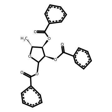 C[C@H]1OC(OC(=O)c2ccccc2)[C@H](OC(=O)c2ccccc2)[C@@H]1OC(=O)c1ccccc1